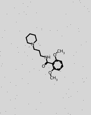 COc1cccc(OC)c1C(=O)NCCCN1CCCCC1